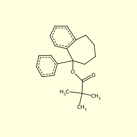 CC(C)(C)C(=O)OC1(c2ccccc2)CCCCc2ccccc21